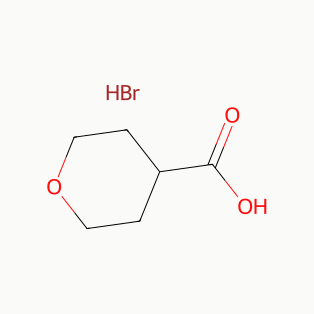 Br.O=C(O)C1CCOCC1